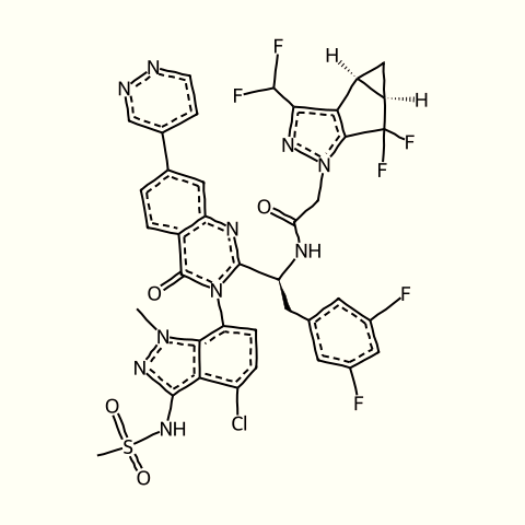 Cn1nc(NS(C)(=O)=O)c2c(Cl)ccc(-n3c([C@H](Cc4cc(F)cc(F)c4)NC(=O)Cn4nc(C(F)F)c5c4C(F)(F)[C@@H]4C[C@H]54)nc4cc(-c5ccnnc5)ccc4c3=O)c21